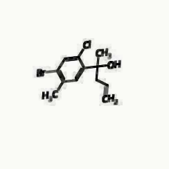 C=CCC(C)(O)c1cc(C)c(Br)cc1Cl